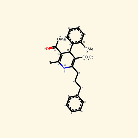 CCOC(=O)C1=C(CCCc2ccccc2)NC(C)=C(C(=O)OC)C1c1ccccc1SC